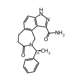 C[C@@H](c1ccccc1)N1Cc2c(ccc3[nH]nc(C(N)=O)c23)C[CH]C1=O